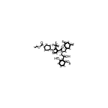 CCOC(=O)[C@H]1CC[C@H](n2ncc(C(=O)N(Cc3cc(F)cc(F)c3)CC(O)c3c(O)cccc3OC)c2C(F)(F)F)CC1